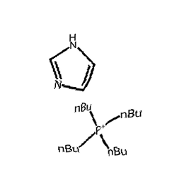 CCCC[P+](CCCC)(CCCC)CCCC.c1c[nH]cn1